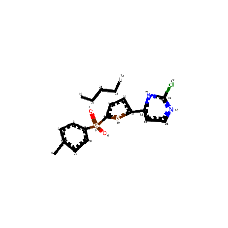 Cc1ccc(S(=O)(=O)c2ccc(-c3ccnc(Cl)n3)s2)cc1.[Li][CH2]CCC